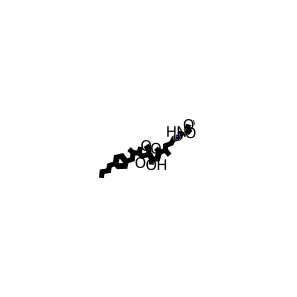 CCCCc1ccc(CC(C)C(C)C(=O)c2c(O)cc(C(C)CC/C=C/NC(=O)OC)oc2=O)cc1